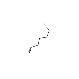 C=CCC[C@@H](C)C[N+](=O)[O-]